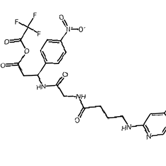 Cc1ccnc(NCCCC(=O)NCC(=O)NC(CC(=O)OC(=O)C(F)(F)F)c2ccc([N+](=O)[O-])cc2)c1